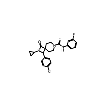 O=C(Nc1cccc(F)c1)N1CCC2(CC1)C(=O)N(C1CC1)C2c1ccc(Cl)cc1